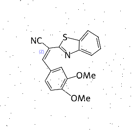 COc1ccc(/C=C(/C#N)c2nc3ccccc3s2)cc1OC